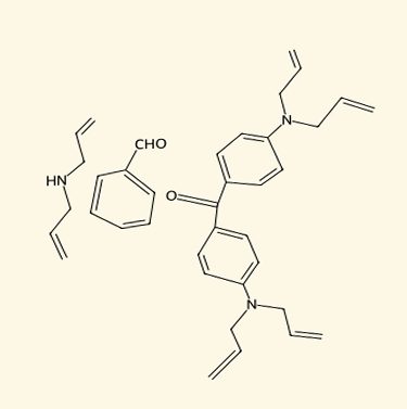 C=CCN(CC=C)c1ccc(C(=O)c2ccc(N(CC=C)CC=C)cc2)cc1.C=CCNCC=C.O=Cc1ccccc1